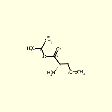 COC[C@H](N)C(=O)OC(C)C